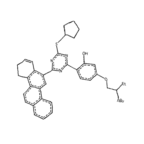 CCCCC(CC)COc1ccc(-c2nc(SC3CCCC3)nc(-c3cc4c(ccc5ccccc54)c4c3C=CCC4)n2)c(O)c1